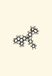 c1ccc(-c2ccc(N(c3ccc(-c4ccc5ccccc5c4-c4ccccc4)cc3)c3ccc(-c4cccc5ccccc45)cc3)cc2)cc1